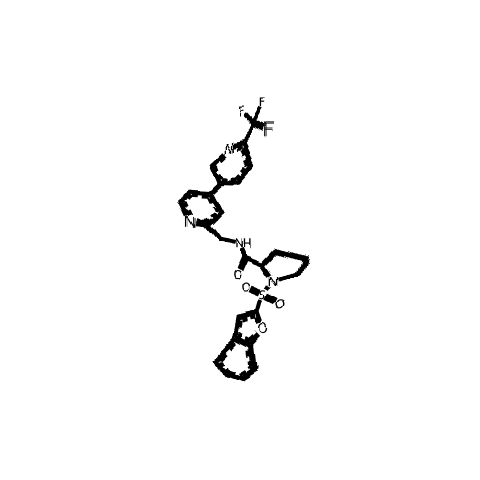 O=C(NCc1cc(-c2ccc(C(F)(F)F)nc2)ccn1)C1CCCN1S(=O)(=O)c1cc2ccccc2o1